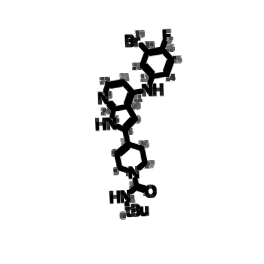 CC(C)(C)NC(=O)N1CC=C(c2cc3c(Nc4ccc(F)c(Br)c4)ccnc3[nH]2)CC1